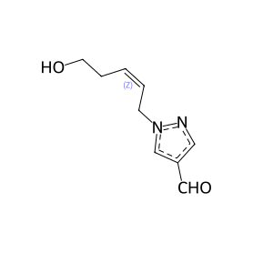 O=Cc1cnn(C/C=C\CCO)c1